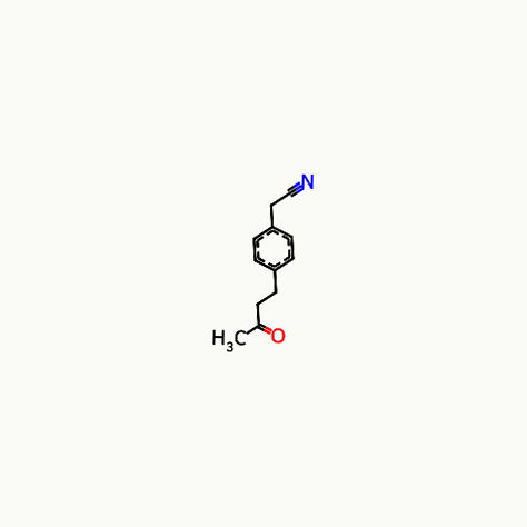 CC(=O)CCc1ccc(CC#N)cc1